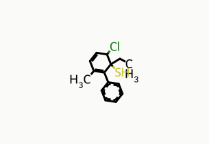 CCC1(S)C(c2ccccc2)=C(C)C=CC1Cl